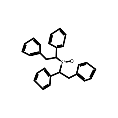 [O-][S+](C(Cc1ccccc1)c1ccccc1)C(Cc1ccccc1)c1ccccc1